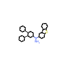 NN(c1ccc(-c2ccccc2)c(-c2ccccc2)c1)c1ccc2sc3ccccc3c2c1